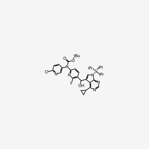 CC(C)[Si](C(C)C)(C(C)C)n1cc(C(O)c2ccc(N(C(=O)OC(C)(C)C)c3ccc(Cl)nc3)nc2F)c2c(C3CC3)ncnc21